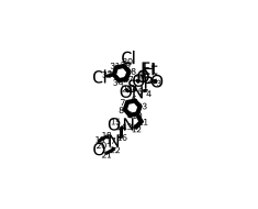 CCO[PH](=O)CN(c1ccc2c(ccn2C(=O)CN2CCOCC2)c1)S(=O)(=O)c1cc(Cl)cc(Cl)c1